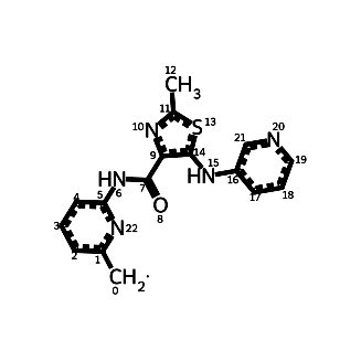 [CH2]c1cccc(NC(=O)c2nc(C)sc2Nc2cccnc2)n1